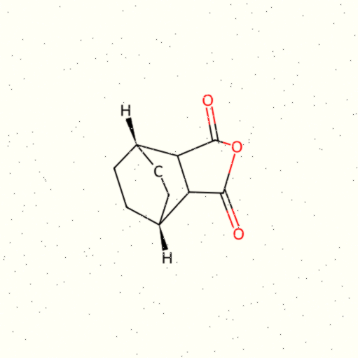 O=C1OC(=O)C2C1[C@H]1CC[C@@H]2CC1